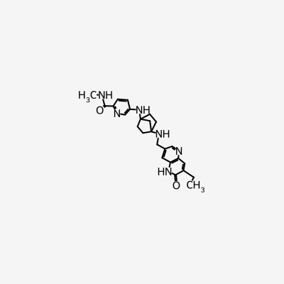 CCc1cc2ncc(CNC34CCC(Nc5ccc(C(=O)NC)nc5)(CC3)C4)cc2[nH]c1=O